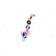 C#CCOc1ccc(N2CCN(C(=O)ON3C(=O)[C@@H]4CNCCN4C3=O)CC2)cc1